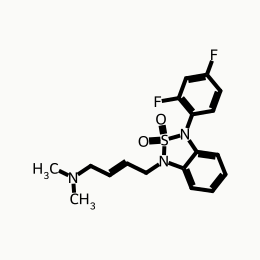 CN(C)C/C=C/CN1c2ccccc2N(c2ccc(F)cc2F)S1(=O)=O